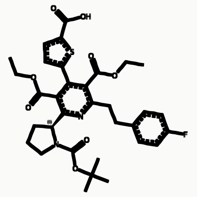 CCOC(=O)c1c(CCc2ccc(F)cc2)nc([C@@H]2CCCN2C(=O)OC(C)(C)C)c(C(=O)OCC)c1-c1ccc(C(=O)O)s1